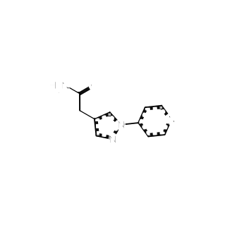 NC(=O)Cc1cnn(-c2ccncc2)c1